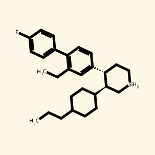 CCCC1CCC([C@@H]2C[SiH2]CC[C@H]2c2ccc(-c3ccc(F)cc3)c(CC)c2)CC1